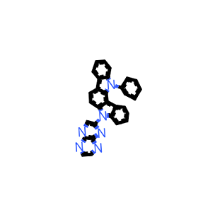 c1ccc(-n2c3ccccc3c3ccc4c(c5ccccc5n4-c4cnc5nccnc5n4)c32)cc1